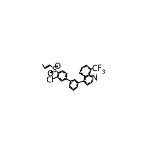 CC=CS(=O)(=O)c1ccc(-c2cccc(-c3ccnc4c(C(F)(F)F)cccc34)c2)cc1Cl